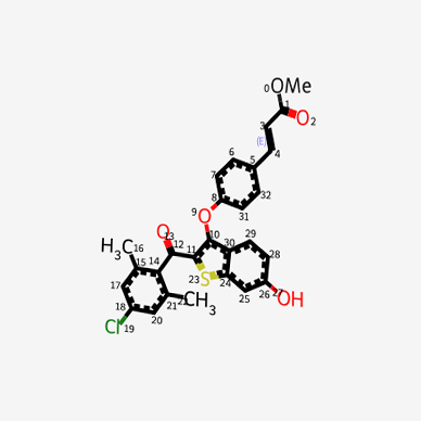 COC(=O)/C=C/c1ccc(Oc2c(C(=O)c3c(C)cc(Cl)cc3C)sc3cc(O)ccc23)cc1